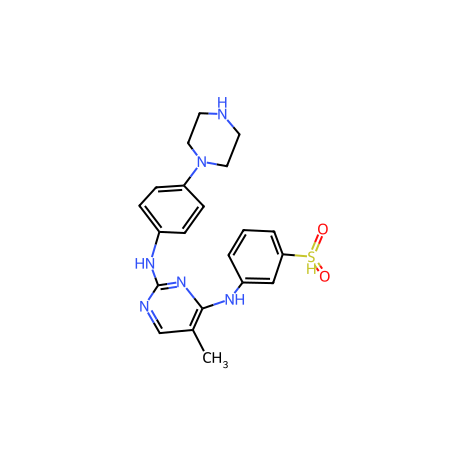 Cc1cnc(Nc2ccc(N3CCNCC3)cc2)nc1Nc1cccc([SH](=O)=O)c1